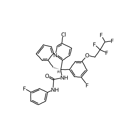 O=C(Nc1cccc(F)c1)N[C@](Cc1ccccc1)(c1cc(F)cc(OCC(F)(F)C(F)F)c1)c1ccc(Cl)cn1